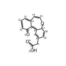 O=C(O)CC1=CC2=C3C(=O)C=CC=C3C=COC2C=C1